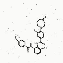 COc1ccc(C(=O)Nc2cccc(O)c2NC(=O)c2ccc(N3CCCN(C)CC3)c(F)c2)cc1